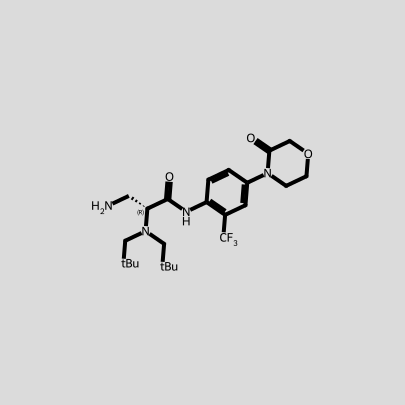 CC(C)(C)CN(CC(C)(C)C)[C@H](CN)C(=O)Nc1ccc(N2CCOCC2=O)cc1C(F)(F)F